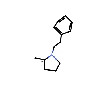 C[C@@H]1CCCN1CCc1[c]cccc1